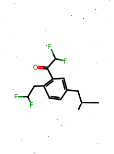 CC(C)Cc1ccc(CC(F)F)c(C(=O)C(F)F)c1